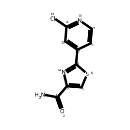 NC(=O)c1csc(-c2ccnc(Cl)c2)n1